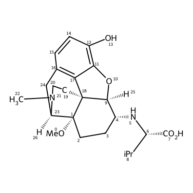 CO[C@@]12CC[C@@H](N[C@H](C(=O)O)C(C)C)[C@@H]3Oc4c(O)ccc5c4[C@@]31CCN(C)[C@@H]2C5